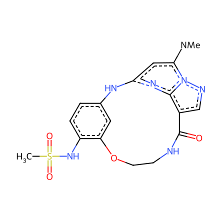 CNc1cc2nc3c(cnn13)C(=O)NCCOc1cc(ccc1NS(C)(=O)=O)N2